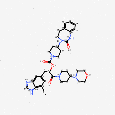 Cc1cc(C[C@@H](OC(=O)N2CCC(N3CCc4ccccc4NC3=O)CC2)C(=O)N2CCC(N3CCOCC3)CC2)cc2nc[nH]c12